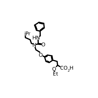 CCOC(Cc1ccc(OCCN(CCCC(C)C)C(=O)NCc2ccccc2)cc1)C(=O)O